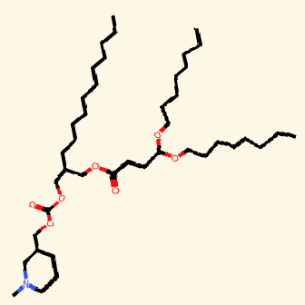 C[CH]CCCCCCCCCC(COC(=O)CCC(OCCCCCCCC)OCCCCCCCC)COC(=O)OCC1CCCN(C)C1